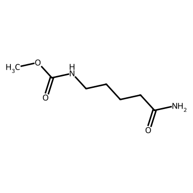 COC(=O)NCCCCC(N)=O